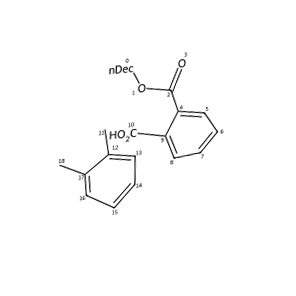 CCCCCCCCCCOC(=O)c1ccccc1C(=O)O.Cc1ccccc1C